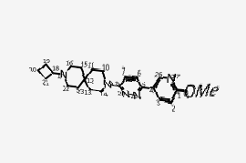 COc1ccc(-c2ccc(N3CCC4(CC3)CCN(C3CCC3)CC4)nn2)cn1